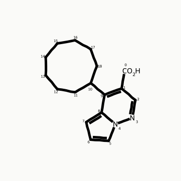 O=C(O)c1cnn2cccc2c1C1CCCCCCCC1